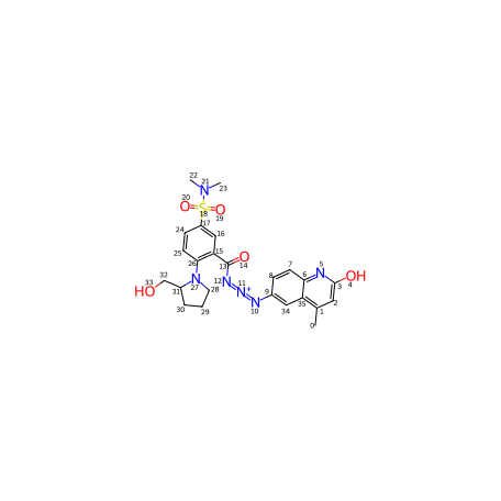 Cc1cc(O)nc2ccc(N=[N+]=NC(=O)c3cc(S(=O)(=O)N(C)C)ccc3N3CCCC3CO)cc12